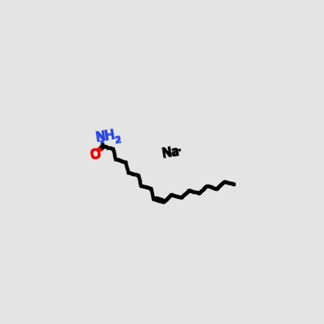 CCCCCCCC/C=C\CCCCCCCC(N)=O.[Na]